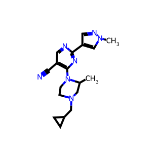 CC1CN(CC2CC2)CCN1c1nc(-c2cnn(C)c2)ncc1C#N